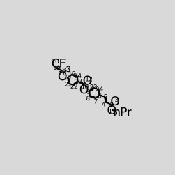 [CH2]CCOC(=O)/C=C/c1ccc(OC(=O)c2ccc(OCCC(F)(F)F)cc2)cc1